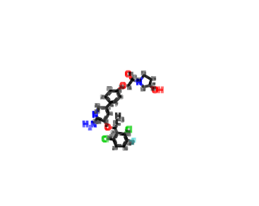 CC(Oc1cc(-c2ccc(OCC(=O)N3CCC(O)C3)cc2)cnc1N)c1c(Cl)ccc(F)c1Cl